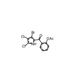 CC(=O)Oc1ccccc1C(=O)c1[nH]c(Cl)c(Cl)c1Br